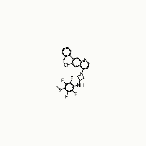 CSc1c(F)c(F)c(NC2CN(c3ccnc4cc(-c5ccccc5F)c(Cl)cc34)C2)c(F)c1F